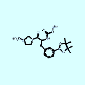 CC(C)(C)OC(=O)NC(Cc1cccc(B2OC(C)(C)C(C)(C)O2)c1)C(=O)N1CC[C@@H](C(=O)O)C1